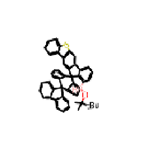 CC(C)(C)C(C)(C)OBc1cccc2c1C1(c3cc4c(cc3-2)sc2ccccc24)c2ccccc2C2(c3ccccc3-c3ccccc32)c2ccccc21